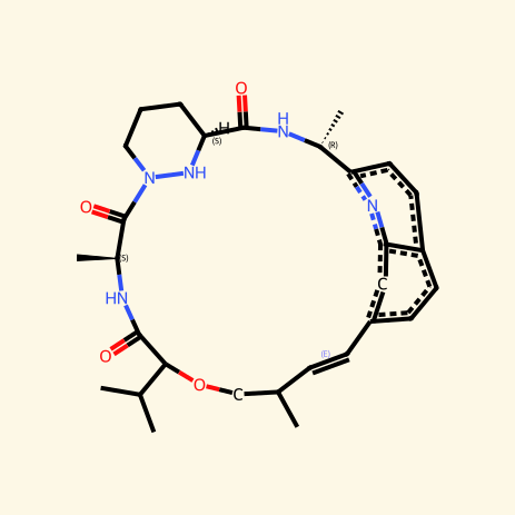 CC1/C=C/c2ccc3ccc(nc3c2)[C@@H](C)NC(=O)[C@@H]2CCCN(N2)C(=O)[C@H](C)NC(=O)C(C(C)C)OC1